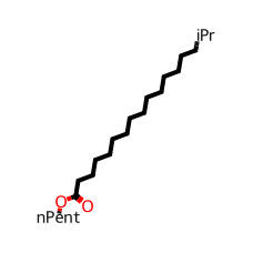 CCCCCOC(=O)CCCCCCCCCCCCCCC(C)C